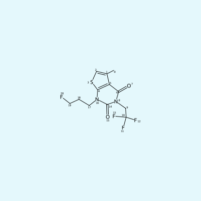 Cc1csc2c1c(=O)n(CC(F)(F)F)c(=O)n2CCCF